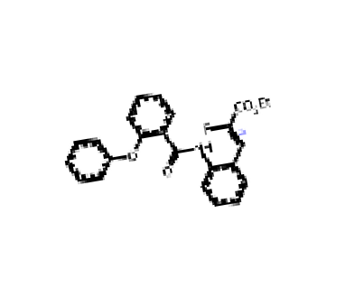 CCOC(=O)/C(F)=C/c1ccccc1NC(=O)c1ccccc1Oc1ccccc1